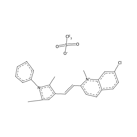 Cc1cc(/C=C/c2ccc3ccc(Cl)cc3[n+]2C)c(C)n1-c1ccccc1.O=S(=O)([O-])C(F)(F)F